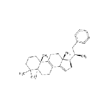 C[C@H](Cc1ccccc1)[C@H]1CC=C2C3=C(CC[C@@]21C)[C@@]1(C)CCCC(C)(C)[C@@H]1CC3